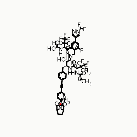 COC(=O)N[C@H](C(=O)N[C@@H](Cc1ccc(C#Cc2ccc(N3CC4CCC(C3)N4S(C)(=O)=O)nc2)cc1)[C@@H](O)CN(Cc1c(F)cc(-c2cnn(C(F)F)c2)cc1F)NC(=O)[C@@H](NC(=O)O)C(C)(C)C(F)(F)F)C(C)(C)C(F)(F)F